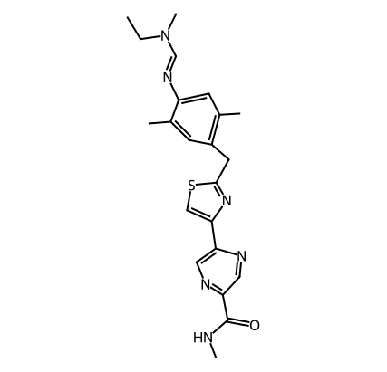 CCN(C)C=Nc1cc(C)c(Cc2nc(-c3cnc(C(=O)NC)cn3)cs2)cc1C